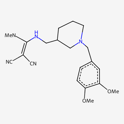 CNC(NCC1CCCN(Cc2ccc(OC)c(OC)c2)C1)=C(C#N)C#N